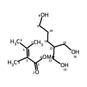 COC(=O)C(C)=C(C)C.OCCCC(CO)CO